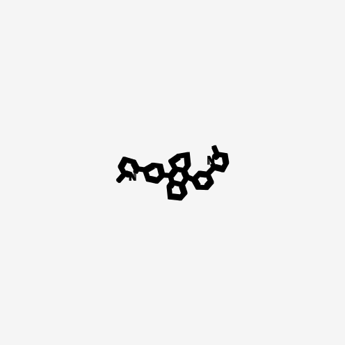 Cc1cccc(-c2ccc(-c3c4ccccc4c(-c4cccc(-c5cccc(C)n5)c4)c4ccccc34)cc2)n1